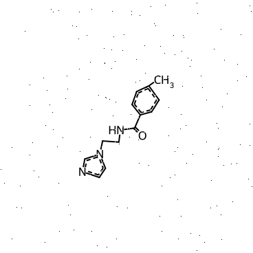 Cc1ccc(C(=O)NCCn2ccnc2)cc1